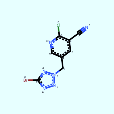 N#Cc1cc(Cn2nnc(Br)n2)cnc1Cl